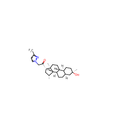 C[C@@H]1C[C@H](C(=O)Cn2ccc(C(F)(F)F)n2)[C@@]2(C)CC[C@H]3[C@@H](CC[C@@H]4C[C@](C)(O)CC[C@@H]43)[C@H]12